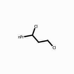 CCCC(Cl)C[CH]Cl